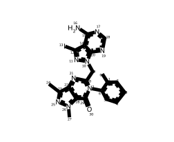 Cc1ccccc1-n1c(Cn2nc(I)c3c(N)ncnc32)nc2c(C)nn(C)c2c1=O